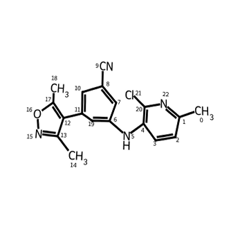 Cc1ccc(Nc2cc(C#N)cc(-c3c(C)noc3C)c2)c(Cl)n1